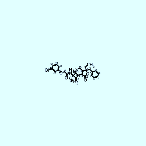 CCC1(Cc2ccccc2)OC(=O)C2=C1CS[C@@H]1N2C(=O)C1(NC(=O)COc1cccc(Br)c1)OC